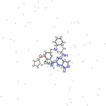 COc1ccc(CN2CC(Nc3nc(N)nc4[nH]ncc34)Cc3ccccc32)cc1OC1CCCC1